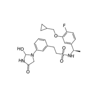 C[C@@H](NS(=O)(=O)CCc1cccc(N2CC(=O)NC2O)c1)c1ccc(F)c(OCC2CC2)c1